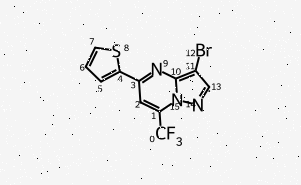 FC(F)(F)c1cc(-c2cccs2)nc2c(Br)[c]nn12